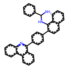 NC(Nc1c(-c2ccc(-c3nc4ccccc4c4ccccc34)cc2)ccc2ccccc12)c1ccccc1